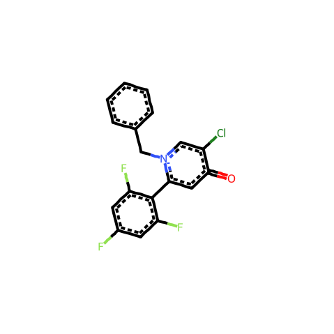 O=c1cc(-c2c(F)cc(F)cc2F)n(Cc2ccccc2)cc1Cl